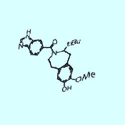 COc1cc2c(cc1O)CCN(C(=O)c1ccc3nc[nH]c3c1)C(C(C)(C)C)C2